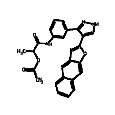 CC(=O)OC(C)C(=O)Nc1cccc(-c2n[nH]cc2-c2nc3cc4ccccc4cc3o2)c1